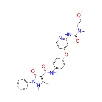 COCCN(C)C(=O)Nc1cc(Oc2ccc(NC(=O)c3c(C)n(C)n(-c4ccccc4)c3=O)cc2)ccn1